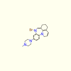 CN1CCN(c2ccc3c(c2)N(Br)C=C2CCCC4=C2N3CC=C4)CC1